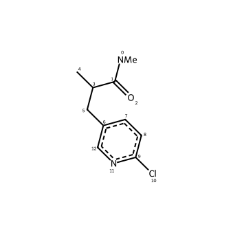 CNC(=O)C(C)Cc1ccc(Cl)nc1